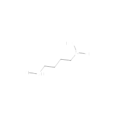 CN(C)CCCC[SiH2]Cl